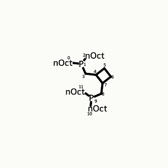 CCCCCCCCP(CCCCCCCC)CC1CCC1CP(CCCCCCCC)CCCCCCCC